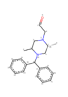 CC1CN(CC=O)[C@H](C)CN1C(c1ccccc1)c1ccccc1